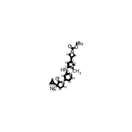 Cn1nc(C2CN(C(=O)OC(C)(C)C)C2)cc1Nc1cc(N2CC[C@@](C#N)(C3CC3)C2=O)ccn1